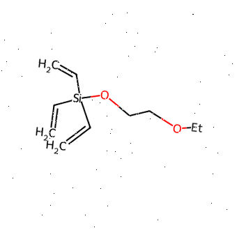 C=C[Si](C=C)(C=C)OCCOCC